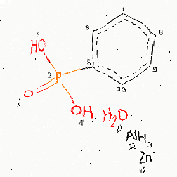 O.O=P(O)(O)c1ccccc1.[AlH3].[Zn]